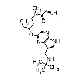 C=CC(=O)N(C)CCC(CC)Oc1cnc2[nH]cc(CNC(C)(C)C)c2n1